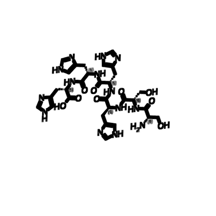 N[C@@H](CO)C(=O)N[C@@H](CO)C(=O)N[C@@H](Cc1c[nH]cn1)C(=O)N[C@@H](Cc1c[nH]cn1)C(=O)N[C@@H](Cc1c[nH]cn1)C(=O)N[C@@H](Cc1c[nH]cn1)C(=O)O